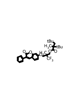 CC(C)(C)CC(C)(C(=O)OCC(C)(COc1ccc2cc(-c3ccccc3)c(=O)oc2c1)C(F)(F)F)C(C)(C)C